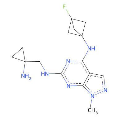 Cn1ncc2c(NC34CC(F)(C3)C4)nc(NCC3(N)CC3)nc21